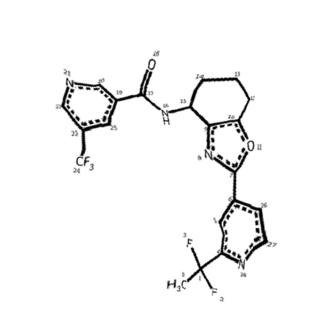 CC(F)(F)c1cc(-c2nc3c(o2)CCCC3NC(=O)c2cncc(C(F)(F)F)c2)ccn1